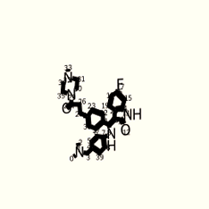 CN(C)Cc1ccc(N/C(=C2\C(=O)Nc3cc(F)ccc32)c2ccc(CCC(=O)N3CCN(C)CC3)cc2)cc1